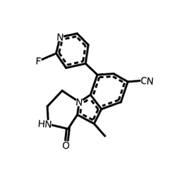 Cc1c2n(c3c(-c4ccnc(F)c4)cc(C#N)cc13)CCNC2=O